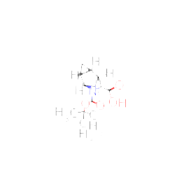 CC(C)(C)OC(=O)N1[C@H](C(=O)O)[C@H]2C[C@H]1[C@H]1C[C@@H]21